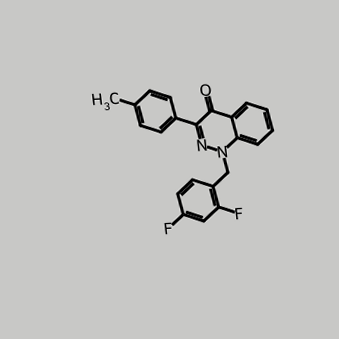 Cc1ccc(-c2nn(Cc3ccc(F)cc3F)c3ccccc3c2=O)cc1